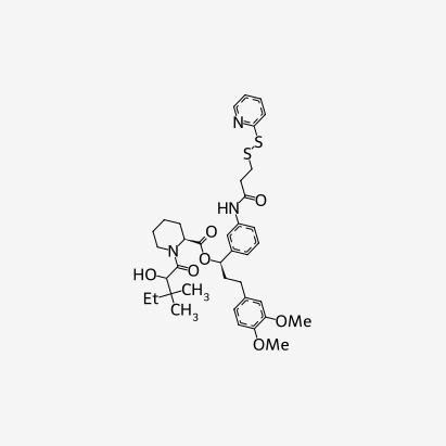 CCC(C)(C)C(O)C(=O)N1CCCC[C@H]1C(=O)O[C@H](CCc1ccc(OC)c(OC)c1)c1cccc(NC(=O)CCSSc2ccccn2)c1